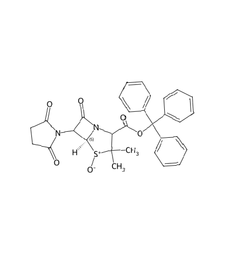 CC1(C)C(C(=O)OC(c2ccccc2)(c2ccccc2)c2ccccc2)N2C(=O)C(N3C(=O)CCC3=O)[C@@H]2[S+]1[O-]